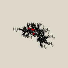 CC(=O)[C@@H](CCCCN)NC(=O)[C@@H](CCCCN)NC(=O)[C@@H](CCCCN)NC(=O)[C@@H](CCCCN)NC(=O)[C@H](CCCCN)NC(=O)[C@H](CCCCN)NC(=O)[C@H](CCCCN)NC(=O)[C@@H](CCCCN)NC(=O)[C@H](CCCCN)NC(=O)[C@H](CCCCN)NC(=O)[C@@H](CCCCN)NC(=O)[C@@H](CCCCN)NC(=O)[C@H](CCCCN)NC(=O)[C@@H](CCCCN)NC(=O)[C@H](CCCCN)NC(=O)[C@@H](N)CCCCN